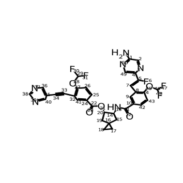 Nc1cnc(/C(F)=C/c2cc(C(=O)N[C@H]3CC4(CC4)C[C@@H]3OC(=O)c3ccc(OC(F)F)c(C#Cc4cncnc4)c3)ccc2OC(F)F)cn1